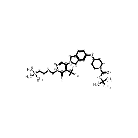 CC(C)(C)OC(=O)N1CCC(Oc2ccc3c(c2)CN(c2cnn(COCC[Si](C)(C)C)c(=O)c2C(F)(F)F)C3)CC1